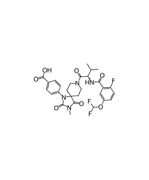 CC(C)[C@@H](NC(=O)c1cc(OC(F)F)ccc1F)C(=O)N1CCC2(CC1)C(=O)N(C)C(=O)N2c1ccc(C(=O)O)cc1